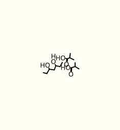 CC(C)C(=O)O.CC(C)C(=O)O.CCC(O)CC(O)CC